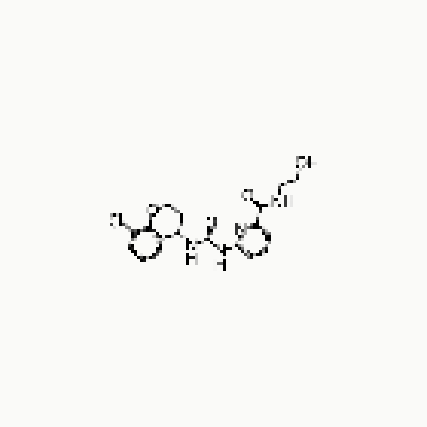 O=C(Nc1cccc(C(=O)NCCO)n1)N[C@H]1CCOc2c(Cl)cccc21